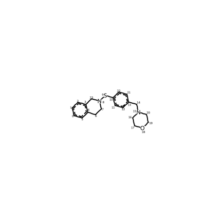 c1ccc2c(c1)CCN(Sc1ccc(CN3CCOCC3)cc1)C2